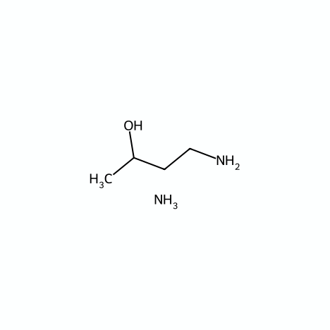 CC(O)CCN.N